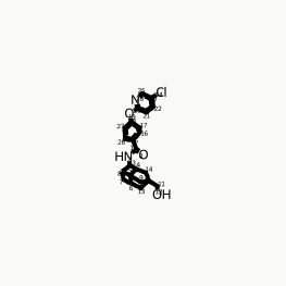 O=C(NC1C2CC3CC1CC(CO)(C3)C2)c1ccc(Oc2ccc(Cl)cn2)cc1